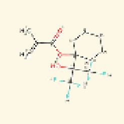 C=C(C)C(=O)OC1(C(O)(C(F)(F)F)C(F)(F)F)CCCCC1